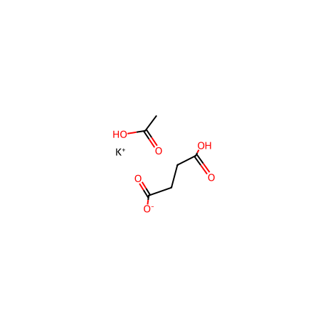 CC(=O)O.O=C([O-])CCC(=O)O.[K+]